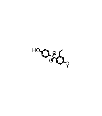 CCc1cc(OC)ccc1S(=O)(=O)c1ccc(O)cc1